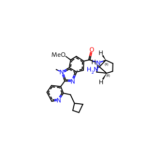 COc1cc(C(=O)N2C[C@H]3CC[C@@H]2[C@@H]3N)cc2nc(-c3cccnc3CC3CCC3)n(C)c12